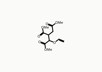 C=COC(C(=O)OC)C(CC(=O)OC)C(=O)OC